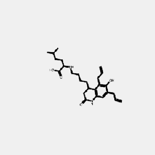 C=CCc1cc2c(c(CC=C)c1O)C(CCCCNC(CCC(C)C)C(=O)O)CC(=O)N2